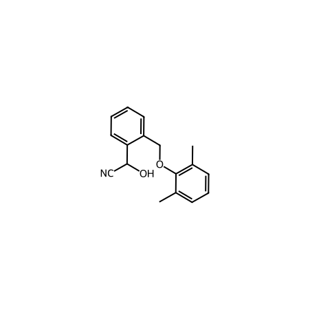 Cc1cccc(C)c1OCc1ccccc1C(O)C#N